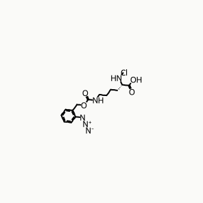 [N-]=[N+]=Nc1ccccc1COC(=O)NCCCC[C@H](NCl)C(=O)O